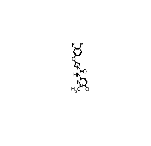 Cn1nc(NC(=O)N2CC(Oc3ccc(F)c(F)c3)C2)ccc1=O